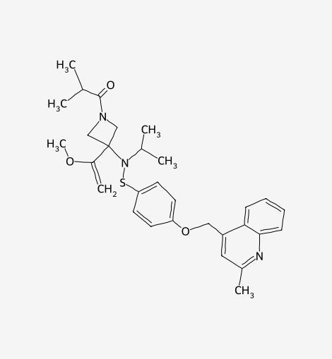 C=C(OC)C1(N(Sc2ccc(OCc3cc(C)nc4ccccc34)cc2)C(C)C)CN(C(=O)C(C)C)C1